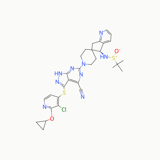 CC(C)(C)[S@@+]([O-])N[C@@H]1c2cccnc2CC12CCN(c1nc(C#N)c3c(Sc4ccnc(OC5CC5)c4Cl)n[nH]c3n1)CC2